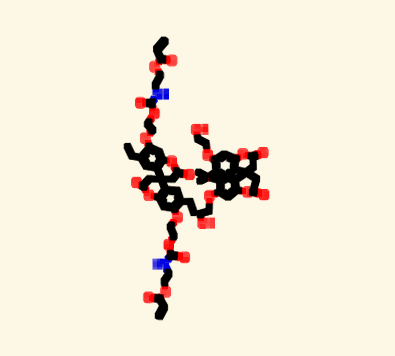 C=CC(=O)OCCNC(=O)OCCOc1cc2c(cc1CC)C1(CC(=O)O2)CC(=O)Oc2cc(OCCOC(=O)NCCOC(=O)C=C)c(CC)cc21.CCc1cc2c(cc1OCCO)OC(=O)CC21CC(=O)Oc2cc(OCCO)c(CC)cc21